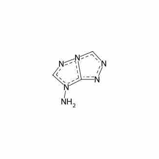 Nn1cnn2cnnc12